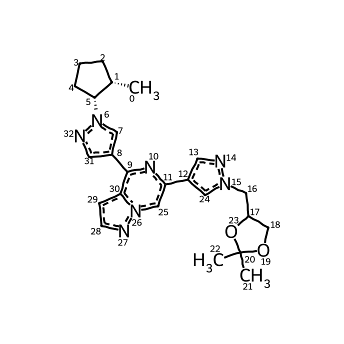 C[C@H]1CCC[C@H]1n1cc(-c2nc(-c3cnn(CC4COC(C)(C)O4)c3)cn3nccc23)cn1